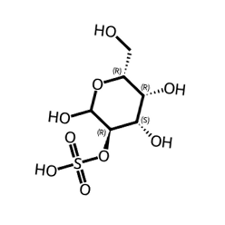 O=S(=O)(O)O[C@H]1C(O)O[C@H](CO)[C@H](O)[C@@H]1O